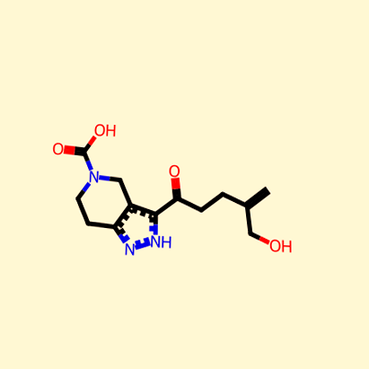 C=C(CO)CCC(=O)c1[nH]nc2c1CN(C(=O)O)CC2